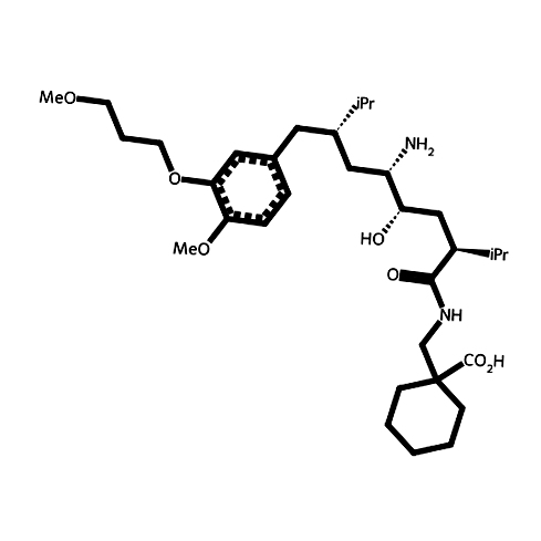 COCCCOc1cc(C[C@@H](C[C@H](N)[C@@H](O)C[C@H](C(=O)NCC2(C(=O)O)CCCCC2)C(C)C)C(C)C)ccc1OC